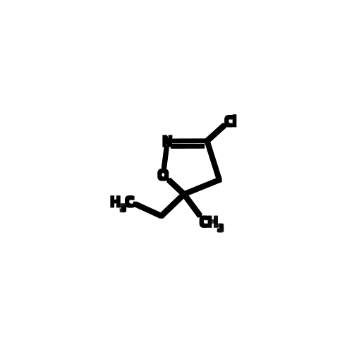 CCC1(C)CC(Cl)=NO1